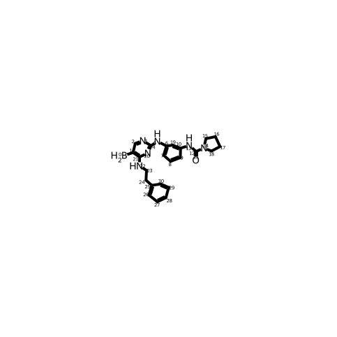 Bc1cnc(Nc2cccc(NC(=O)N3CCCC3)c2)nc1NCCc1ccccc1